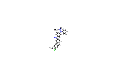 Cc1cc2c(cc1Cl)Cc1ccc(Nc3ccc(N(c4ccccc4)N(C)C)cc3)cc1-2